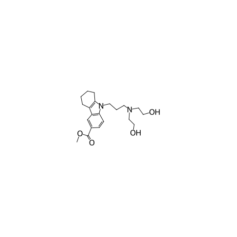 COC(=O)c1ccc2c(c1)c1c(n2CCCN(CCO)CCO)CCCC1